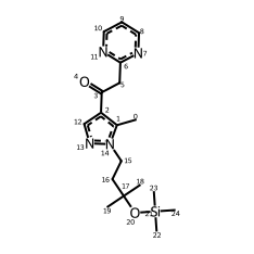 Cc1c(C(=O)Cc2ncccn2)cnn1CCC(C)(C)O[Si](C)(C)C